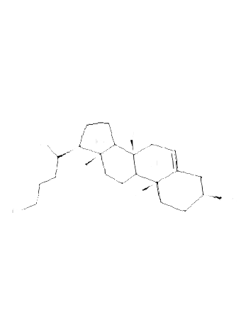 CC(=O)O[C@H]1CC[C@@]2(C)C(=CC[C@H]3[C@@H]4CC[C@H](C(C)CCCC(C)C)[C@@]4(C)CC[C@@H]32)C1